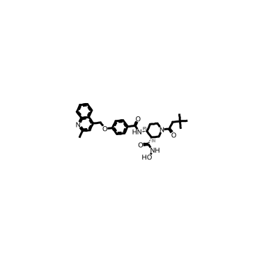 Cc1cc(COc2ccc(C(=O)N[C@@H]3CCN(C(=O)CC(C)(C)C)C[C@@H]3C(=O)NO)cc2)c2ccccc2n1